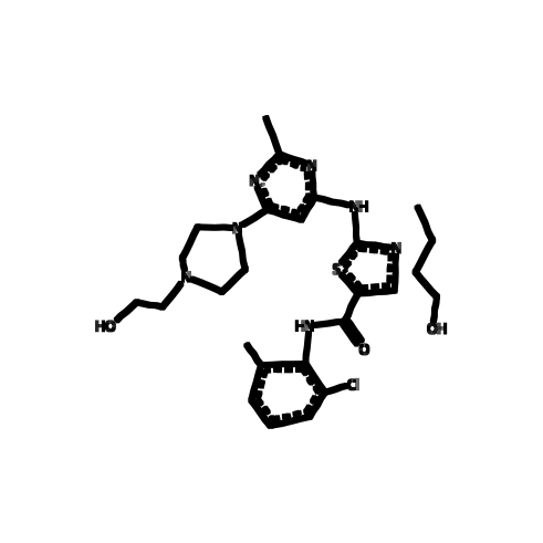 CCCCO.Cc1nc(Nc2ncc(C(=O)Nc3c(C)cccc3Cl)s2)cc(N2CCN(CCO)CC2)n1